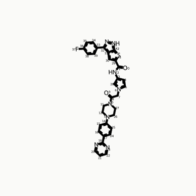 O=C(Nc1ccn(CC(=O)N2CCN(c3ccc(-c4ncccn4)cc3)CC2)c1)c1cc2c(-c3ccc(F)cc3)n[nH]c2s1